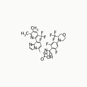 Cc1cc(C(F)(F)F)c(-c2ccc(C[C@H](NC(=O)c3c(F)cc(N4CCOC[C@@H]4C(F)(F)F)cc3F)C(=O)O)n3ccnc23)nc1C